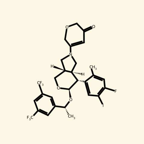 Cc1cc(F)c(I)cc1[C@@H]1[C@@H](O[C@H](C)c2cc(C(F)(F)F)cc(C(F)(F)F)c2)OC[C@@H]2CN(C3=CC(=O)COC3)C[C@H]21